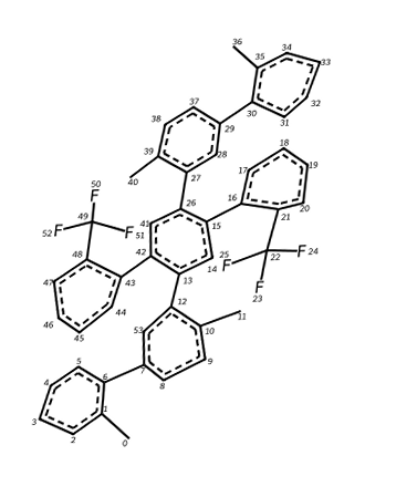 Cc1ccccc1-c1ccc(C)c(-c2cc(-c3ccccc3C(F)(F)F)c(-c3cc(-c4ccccc4C)ccc3C)cc2-c2ccccc2C(F)(F)F)c1